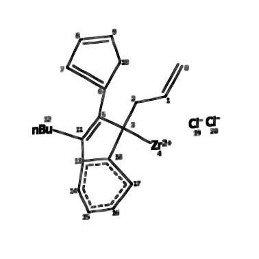 C=CC[C]1([Zr+2])C(C2=CC=CC2)=C(CCCC)c2ccccc21.[Cl-].[Cl-]